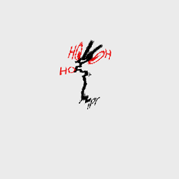 Cc1c(C)c(O)c(CCC(C)(O)CCC[C@H](C)CCC[C@H](C)CCCC(C)C)c(C)c1O